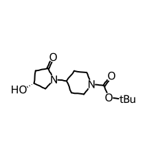 CC(C)(C)OC(=O)N1CCC(N2C[C@H](O)CC2=O)CC1